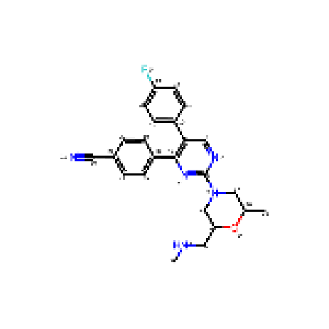 CNCC1CN(c2ncc(-c3ccc(F)cc3)c(-c3ccc(C#N)cc3)n2)CC(C)O1